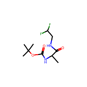 CC(NC(=O)OC(C)(C)C)C(=O)NCC(F)F